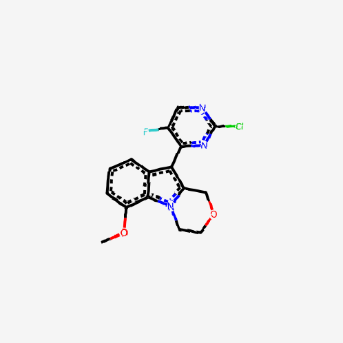 COc1cccc2c(-c3nc(Cl)ncc3F)c3n(c12)CCOC3